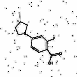 C[C@H]1CCN(c2ccc(C(=O)O)c(F)c2)C1